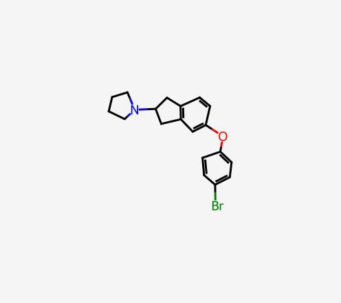 Brc1ccc(Oc2ccc3c(c2)CC(N2CCCC2)C3)cc1